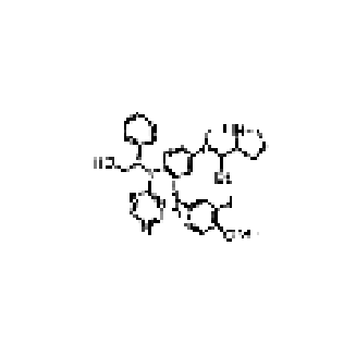 CCC(Nc1ccc(N(c2ncncn2)C(CO)c2ccccc2)c(Nc2ccc(OC)c(F)c2)c1)C1CCCN1